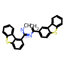 C=N/C(=N\C(=C)c1ccc2sc3ccccc3c2c1)c1cccc2sc3ccccc3c12